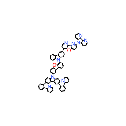 C1=C(c2ccnc3c2oc2ccc(-n4c5cccnc5c5ncccc54)nc23)CCc2c1c1ccccc1n2-c1cccc2c1oc1ccc(-n3c4ccc(-c5ccccc5-c5ccccn5)cc4c4cc(-c5ccccc5-c5ccccn5)ccc43)cc12